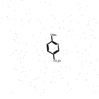 CCOC(=O)c1ccc(OC)nc1